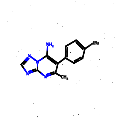 Cc1nc2ncnn2c(N)c1-c1ccc(C(C)(C)C)cc1